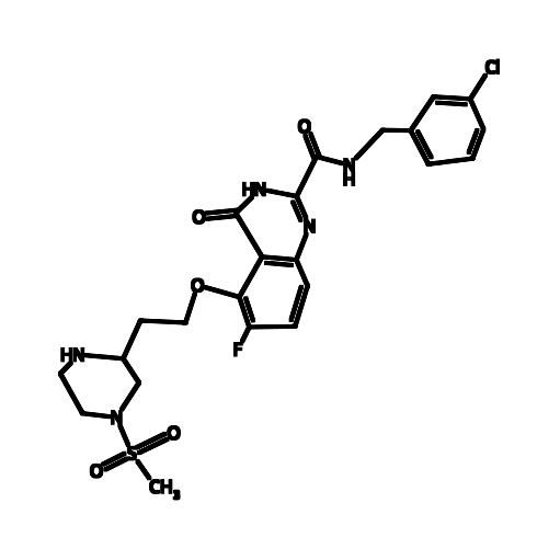 CS(=O)(=O)N1CCNC(CCOc2c(F)ccc3nc(C(=O)NCc4cccc(Cl)c4)[nH]c(=O)c23)C1